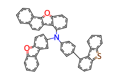 c1ccc2c(c1)ccc1c2oc2cccc(N(c3ccc(-c4cccc5sc6ccccc6c45)cc3)c3ccc4oc5ccccc5c4c3)c21